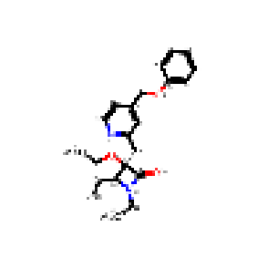 COCO[C@@]1(Cc2cc(COc3ccccc3)ccn2)C(=O)N(COC)[C@H]1CC(C)C